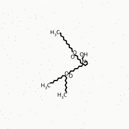 CCCCCCCCCCCOC(=O)CCCCC1(CCCCCCC(=O)OC(CCCCCCCC)CCCCCCCC)CCCN1CCO